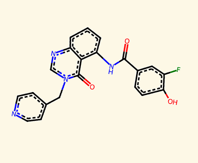 O=C(Nc1cccc2ncn(Cc3ccncc3)c(=O)c12)c1ccc(O)c(F)c1